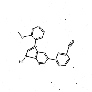 COc1ccccc1-c1cn(S)c2ncc(-c3cccc(C#N)c3)cc12